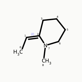 C/C=C1/CCCCN1C